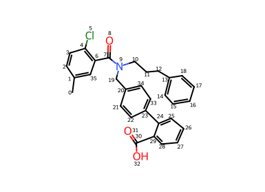 Cc1ccc(Cl)c(C(=O)N(CCCc2ccccc2)Cc2ccc(-c3ccccc3C(=O)O)cc2)c1